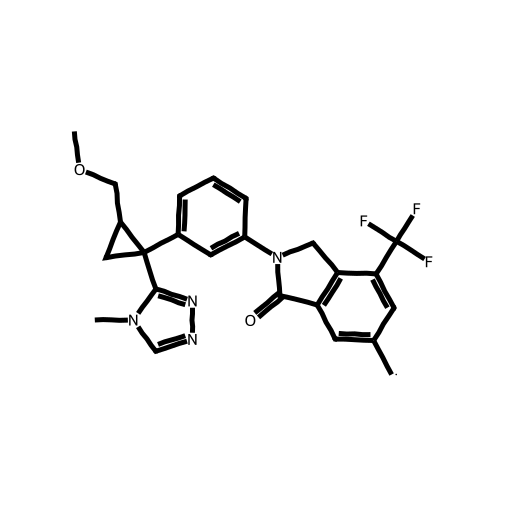 [CH2]c1cc2c(c(C(F)(F)F)c1)CN(c1cccc(C3(c4nncn4C)CC3COC)c1)C2=O